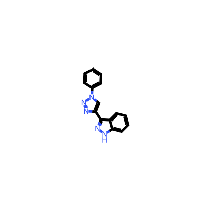 [c]1ccc(-n2cc(-c3n[nH]c4ccccc34)nn2)cc1